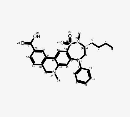 CCCC[C@@H]1CN(c2ccccc2)c2cc3c(cc2S(=O)(=O)N1C)-c1cc(C(=O)O)ccc1CN3C